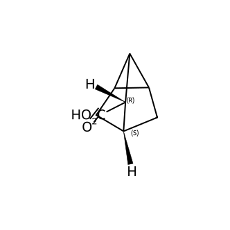 O=C1C2C3C[C@H]1[C@H](C(=O)O)C32